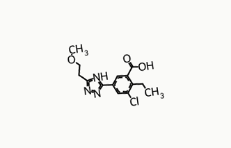 CCc1c(Cl)cc(-c2nnc(CCOC)[nH]2)cc1C(=O)O